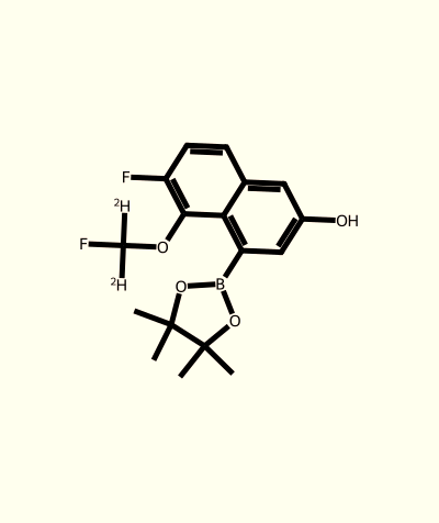 [2H]C([2H])(F)Oc1c(F)ccc2cc(O)cc(B3OC(C)(C)C(C)(C)O3)c12